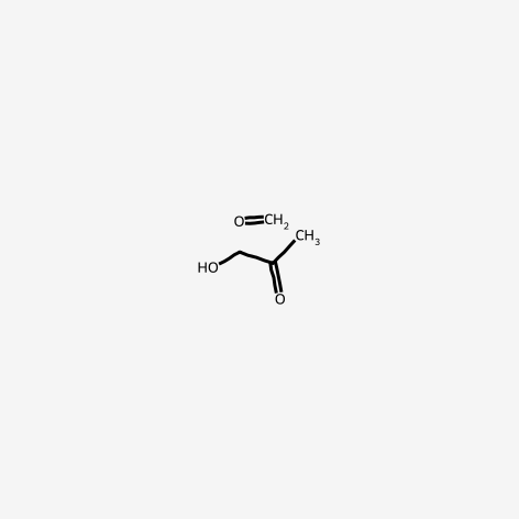 C=O.CC(=O)CO